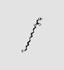 O=C(CS)OCCCCCCCCCCCBr